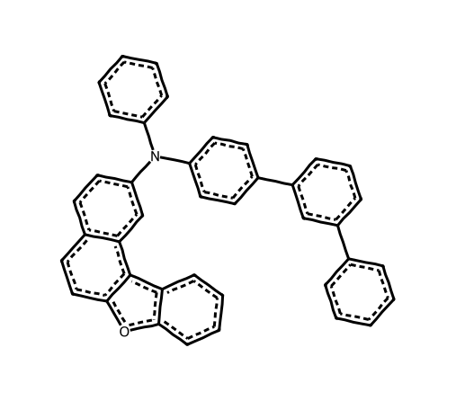 c1ccc(-c2cccc(-c3ccc(N(c4ccccc4)c4ccc5ccc6oc7ccccc7c6c5c4)cc3)c2)cc1